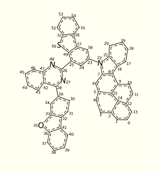 c1cc2ccc3cc4c(c5ccc(c1)c2c35)c1ccccc1n4-c1cc(-c2nc(-c3ccc4c(c3)oc3ccccc34)c3ccccc3n2)c2sc3ccccc3c2c1